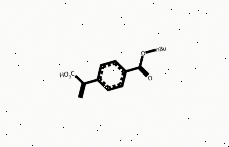 C=C(C(=O)O)c1ccc(C(=O)OCCCC)cc1